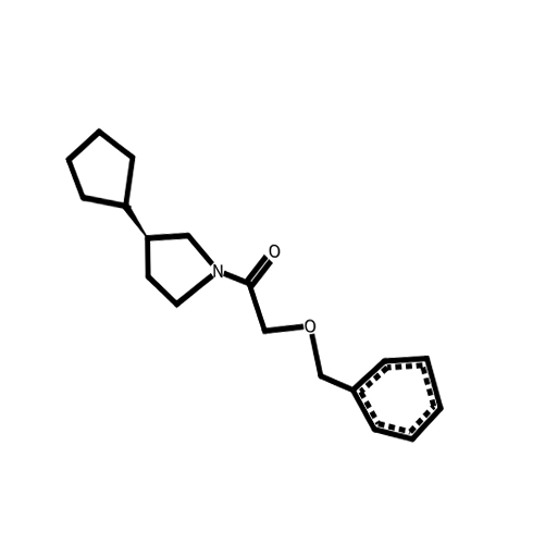 O=C(COCc1ccccc1)N1CC[C@@H]([C]2CCCC2)C1